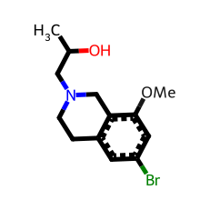 COc1cc(Br)cc2c1CN(CC(C)O)CC2